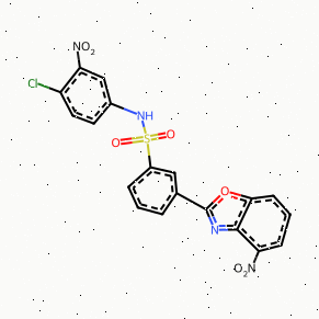 O=[N+]([O-])c1cc(NS(=O)(=O)c2cccc(-c3nc4c([N+](=O)[O-])cccc4o3)c2)ccc1Cl